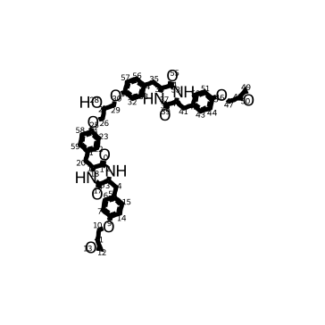 O=C1NC(Cc2ccc(OCC3CO3)cc2)C(=O)NC1Cc1ccc(OCC(O)COc2ccc(CC3NC(=O)C(Cc4ccc(OCC5CO5)cc4)NC3=O)cc2)cc1